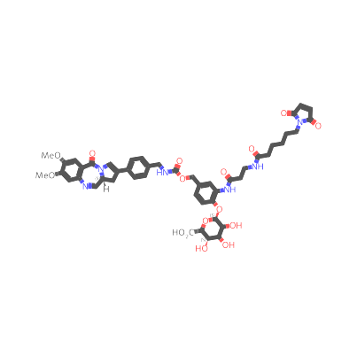 COc1cc2c(cc1OC)C(=O)N1C=C(c3ccc(CNC(=O)OCc4ccc(O[C@@H]5OC(C(=O)O)[C@@H](O)C(O)C5O)c(NC(=O)CCNC(=O)CCCCCN5C(=O)C=CC5=O)c4)cc3)C[C@H]1C=N2